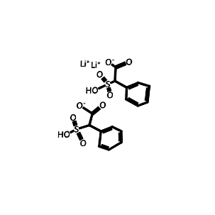 O=C([O-])C(c1ccccc1)S(=O)(=O)O.O=C([O-])C(c1ccccc1)S(=O)(=O)O.[Li+].[Li+]